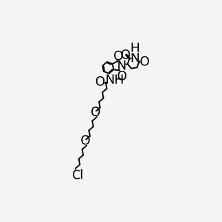 O=C1CCC(N2C(=O)c3cccc(NC(=O)CCCCCOCCCCCOCCCCCCCl)c3C2=O)C(=O)N1